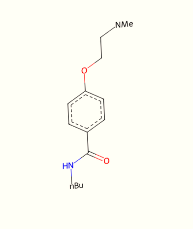 CCCCNC(=O)c1ccc(OCCNC)cc1